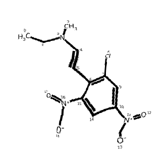 CCN(C)/C=C/c1c(Cl)cc([N+](=O)[O-])cc1[N+](=O)[O-]